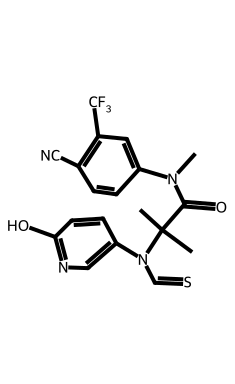 CN(C(=O)C(C)(C)N(C=S)c1ccc(O)nc1)c1ccc(C#N)c(C(F)(F)F)c1